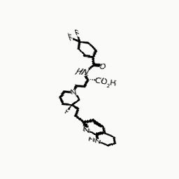 O=C(N[C@@H](CCN1CCC[C@@](F)(CCc2ccc3c(n2)NCCC3)C1)C(=O)O)C1CCC(F)(F)CC1